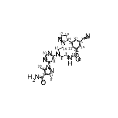 Cc1nn(-c2cc(N(CCNC=O)CCN3N=CCC3c3cc(F)cc(C#N)c3)ncn2)c(C)c1C(N)=O